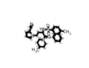 Cc1ccc(S(=O)(=O)NC(CCn2cccc2C#N)C(=O)N2CCC(C)CC2)c2ccccc12